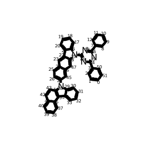 c1ccc(-c2nc(-c3ccccc3)nc(-n3c4ccccc4c4cc5ccc(-n6c7ccccc7c7c8ccccc8ccc76)cc5cc43)n2)cc1